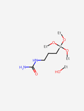 CCO.CCO[Si](CCCNC(N)=O)(OCC)OCC